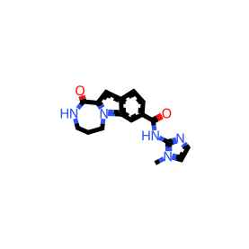 Cn1ccnc1NC(=O)c1ccc2cc3n(c2c1)CCCNC3=O